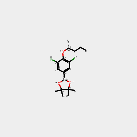 CCC[C@@H](C)Oc1c(F)cc(B2OC(C)(C)C(C)(C)O2)cc1F